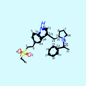 CCS(=O)(=O)CCc1ccc2[nH]cc(C[C@H]3CCCN3C(C)c3ccccc3)c2c1